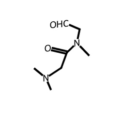 CN(C)CC(=O)N(C)CC=O